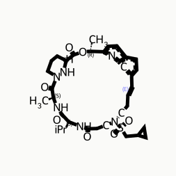 CC(C)[C@@H]1NC(=O)CCN(S(=O)(=O)CC2CC2)CC/C=C/c2ccc3ccc(nc3c2)[C@@H](C)OC(=O)[C@@H]2CCCN(N2)C(=O)[C@H](C)NC1=O